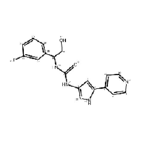 O=C(Nc1cc(-c2ccncc2)[nH]n1)NC(CO)c1cccc(F)c1